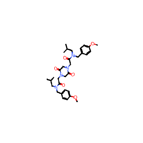 COc1ccc(CN(CC(C)C)C(=O)CN2CC(=O)N(CC(=O)N(Cc3ccc(OC)cc3)CC(C)C)CC2=O)cc1